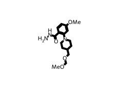 COCOCC1CCN(c2cc(OC)ccc2C(=O)NN)CC1